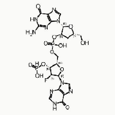 Nc1nc2c(ncn2[C@@H]2O[C@H](CO)C[C@H]2OP(=O)(O)OC[C@H]2O[C@@H](n3cnc4c(=O)[nH]cnc43)[C@@H](F)[C@@H]2O[PH](=O)O)c(=O)[nH]1